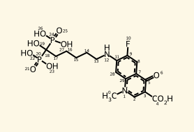 Cn1cc(C(=O)O)c(=O)c2cc(F)c(NCCCCCC(O)(P(=O)(O)O)P(=O)(O)O)cc21